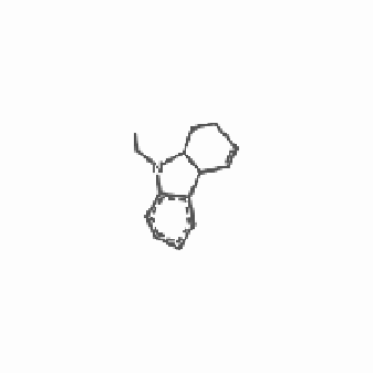 CCN1c2ccccc2C2C=CCCC21